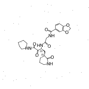 O=C(CNC(=O)c1ccc2c(c1)OCO2)N[C@@H](C[C@@H]1CCCNC1=O)C(=O)C(=O)NC1CCCCC1